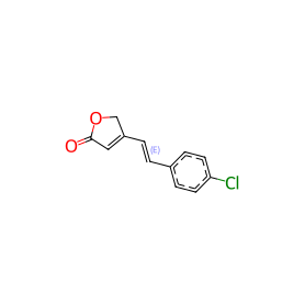 O=C1C=C(/C=C/c2ccc(Cl)cc2)CO1